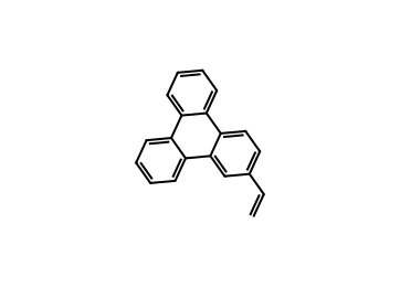 C=Cc1ccc2c3ccccc3c3ccccc3c2c1